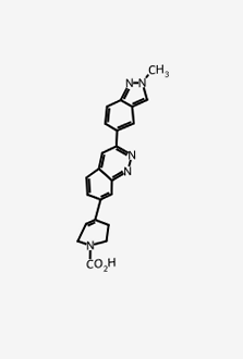 Cn1cc2cc(-c3cc4ccc(C5=CCN(C(=O)O)CC5)cc4nn3)ccc2n1